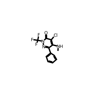 CNc1c(-c2ccccc2)nn(C(F)(F)F)c(=O)c1Cl